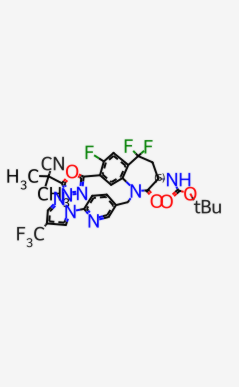 CC(C)(C)OC(=O)N[C@H]1CC(F)(F)c2cc(F)c(-c3nnc(C(C)(C)C#N)o3)cc2N(Cc2ccc(-n3cc(C(F)(F)F)cn3)nc2)C1=O